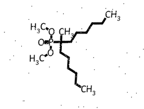 CCCCCCC(C)(CCCCCC)P(=O)(OC)OC